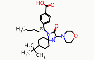 CCCC[C@H](c1ccc(C(=O)O)cc1)N1C(=O)C(N2CCOCC2)=NC12CCC(C(C)(C)C)CC2